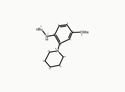 CCCCNc1ccc(OC)cc1N1CCCCC1